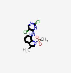 Cc1cn(S(C)(=O)=O)c2c(Nc3nc(Cl)ncc3Cl)cccc12